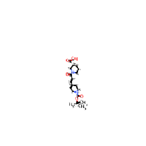 CC(C)(C)OC(=O)N1CC=C(C=CC(=O)N2CCC[C@@H](C(=O)O)C2)CC1